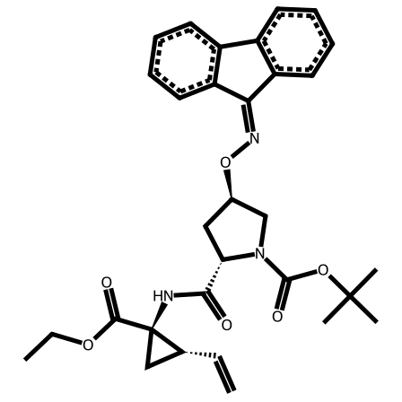 C=C[C@@H]1C[C@]1(NC(=O)[C@@H]1C[C@@H](ON=C2c3ccccc3-c3ccccc32)CN1C(=O)OC(C)(C)C)C(=O)OCC